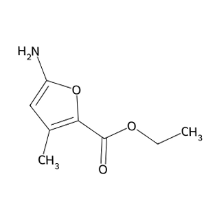 CCOC(=O)c1oc(N)cc1C